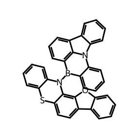 c1ccc2c(c1)Sc1ccc3c(oc4ccccc43)c1N2B1c2ccccc2-n2c3ccccc3c3cccc1c32